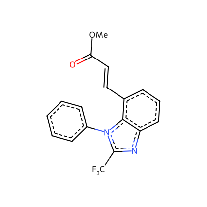 COC(=O)C=Cc1cccc2nc(C(F)(F)F)n(-c3ccccc3)c12